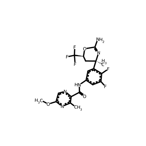 COc1cnc(C(=O)Nc2cc(F)c(F)c([C@@]3(C)C[C@@H](C(F)(F)F)OC(N)=N3)c2)c(C)n1